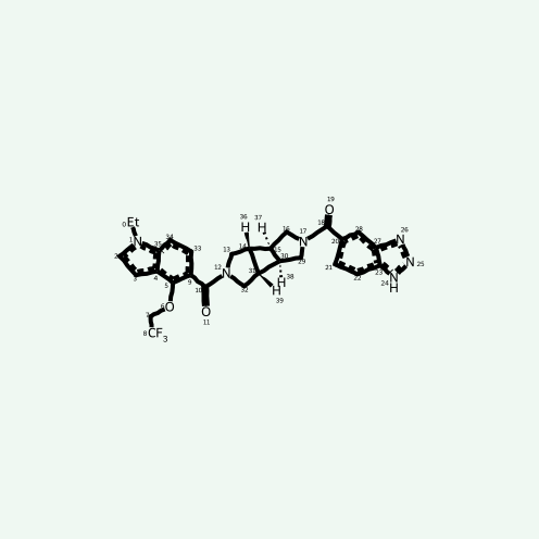 CCn1ccc2c(OCC(F)(F)F)c(C(=O)N3C[C@@H]4[C@H]5CN(C(=O)c6ccc7[nH]nnc7c6)C[C@H]5[C@@H]4C3)ccc21